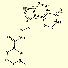 CN1CCCC(C(=O)NCCc2c[nH]c3ccc4c(c23)CCNC4=O)C1